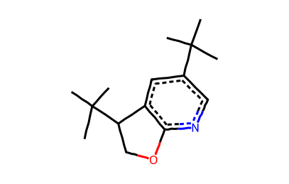 CC(C)(C)c1cnc2c(c1)C(C(C)(C)C)CO2